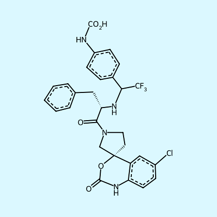 O=C(O)Nc1ccc(C(N[C@@H](Cc2ccccc2)C(=O)N2CC[C@@]3(C2)OC(=O)Nc2ccc(Cl)cc23)C(F)(F)F)cc1